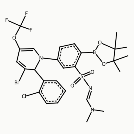 CN(C)C=NS(=O)(=O)c1cc(N2C=C(OC(F)(F)F)C=C(Br)C2c2ccccc2Cl)ccc1B1OC(C)(C)C(C)(C)O1